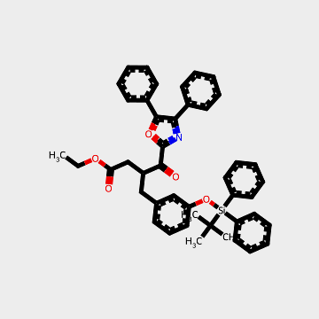 CCOC(=O)CC(Cc1cccc(O[Si](c2ccccc2)(c2ccccc2)C(C)(C)C)c1)C(=O)c1nc(-c2ccccc2)c(-c2ccccc2)o1